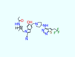 CCC(=O)NC12CC(Cn3c(C#N)cc4cc(CN5CCC(Nc6ncnc7sc(CC(F)(F)F)cc67)CC5)c(O)cc43)(C1)[C@@H]2C